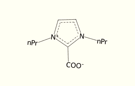 CCCn1cc[n+](CCC)c1C(=O)[O-]